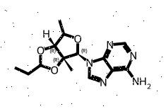 CCC1O[C@@H]2C(C)O[C@@H](n3cnc4c(N)ncnc43)[C@]2(C)O1